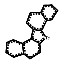 c1ccc2c(c1)ccc1c2[te]c2ccc3ccccc3c21